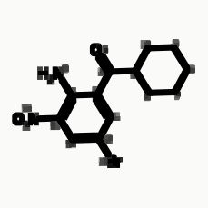 Nc1c(C(=O)C2CCCCC2)cc(Br)cc1[N+](=O)[O-]